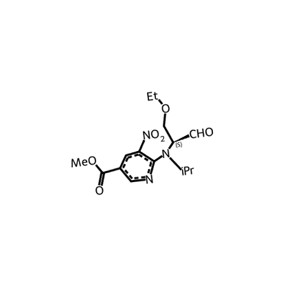 CCOC[C@@H](C=O)N(c1ncc(C(=O)OC)cc1[N+](=O)[O-])C(C)C